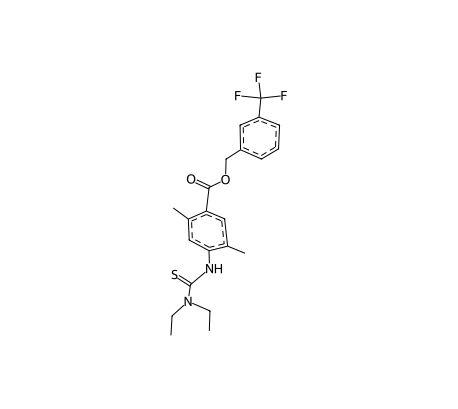 CCN(CC)C(=S)Nc1cc(C)c(C(=O)OCc2cccc(C(F)(F)F)c2)cc1C